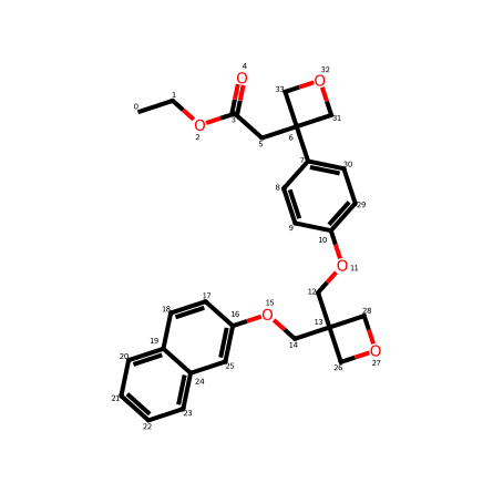 CCOC(=O)CC1(c2ccc(OCC3(COc4ccc5ccccc5c4)COC3)cc2)COC1